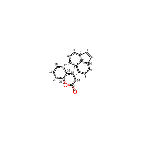 C1=Cc2cccc3cccc1c23.O=c1ccc2ccccc2o1